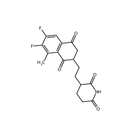 Cc1c(F)c(F)cc2c1C(=O)C(CCC1CCC(=O)NC1=O)CC2=O